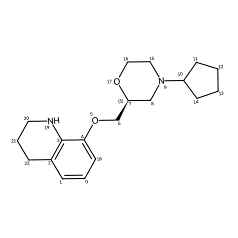 c1cc2c(c(OC[C@@H]3CN(C4CCCC4)CCO3)c1)NCCC2